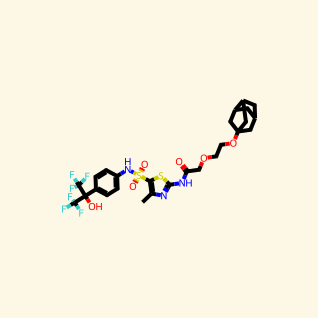 Cc1nc(NC(=O)COCCOC23CC4CC(C2)C(C4)C3)sc1S(=O)(=O)Nc1ccc(C(O)(C(F)(F)F)C(F)(F)F)cc1